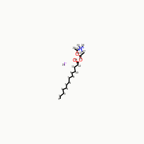 CCCCCCCCCCCCCC(=O)OC(C)OC(C)[N+](C)(C)C.[I-]